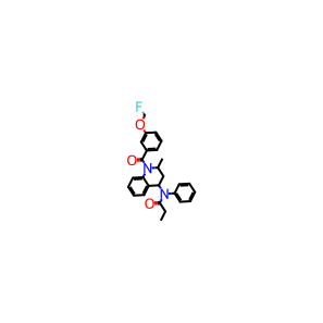 CCC(=O)N(c1ccccc1)C1CC(C)N(C(=O)c2cccc(OCF)c2)c2ccccc21